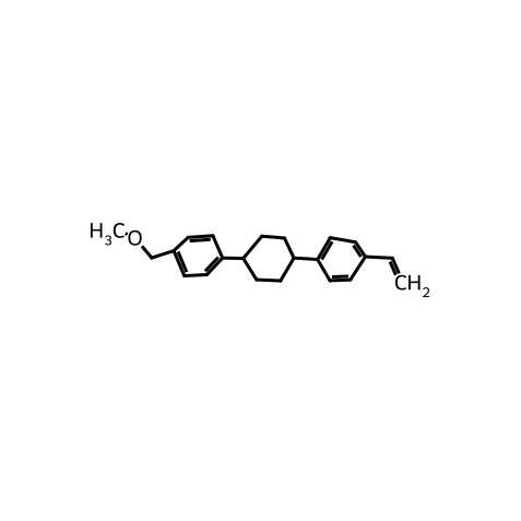 C=Cc1ccc(C2CCC(c3ccc(COC)cc3)CC2)cc1